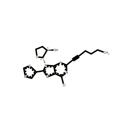 CCCCC#Cc1nc(Cl)c2nc(-c3cncs3)n([C@@H]3OCC[C@H]3O)c2n1